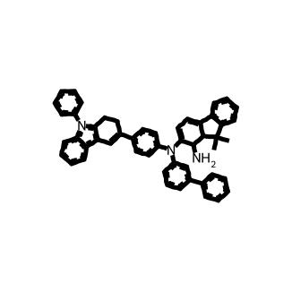 CC1(C)c2ccccc2C2=CC=C(N(c3ccc(C4=Cc5c(n(-c6ccccc6)c6ccccc56)CC4)cc3)c3cccc(-c4ccccc4)c3)C(N)C21